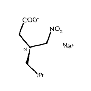 CC(C)C[C@@H](CC(=O)[O-])C[N+](=O)[O-].[Na+]